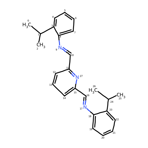 CC(C)c1ccccc1/N=C/c1cccc(/C=N/c2ccccc2C(C)C)n1